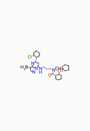 Bc1cnn2c(NCCCN(C)C(=O)c3ccccc3Oc3ccccc3)cc(-c3ccccc3Cl)nc12